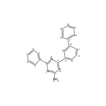 Bc1nc(-c2ccccc2)nc(-c2cccc(-c3ccccc3)c2)n1